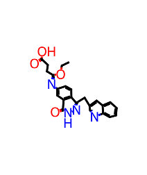 CCOC(CCC(=O)O)=Nc1ccc2c(Cc3cnc4ccccc4c3)n[nH]c(=O)c2c1